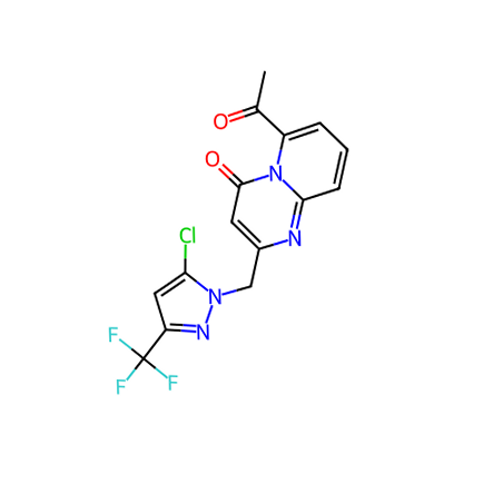 CC(=O)c1cccc2nc(Cn3nc(C(F)(F)F)cc3Cl)cc(=O)n12